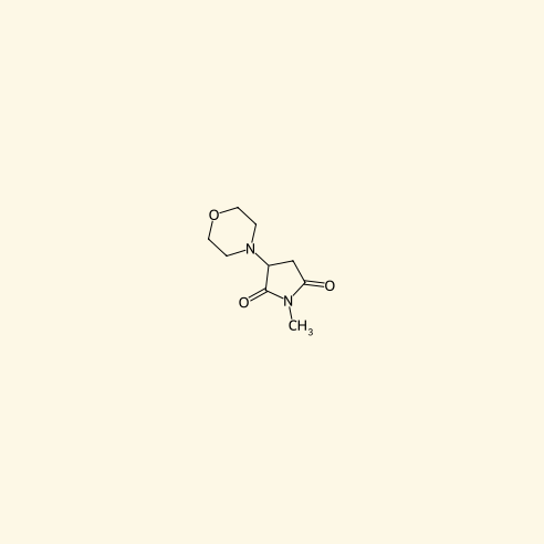 CN1C(=O)CC(N2CCOCC2)C1=O